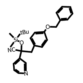 CC(C)(C)[Si](C)(C)OC(C#N)(Cc1ccc(OCc2ccccc2)cc1)c1cccnc1